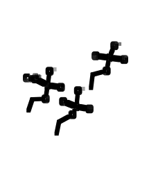 CCOS(=O)(=O)[O-].CCOS(=O)(=O)[O-].CCOS(=O)(=O)[O-].[Ce+3]